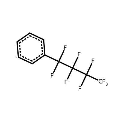 FC(F)(F)C(F)(F)C(F)(F)C(F)(F)c1c[c]ccc1